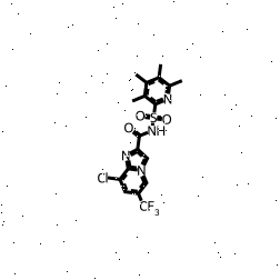 Cc1nc(S(=O)(=O)NC(=O)c2cn3cc(C(F)(F)F)cc(Cl)c3n2)c(C)c(C)c1C